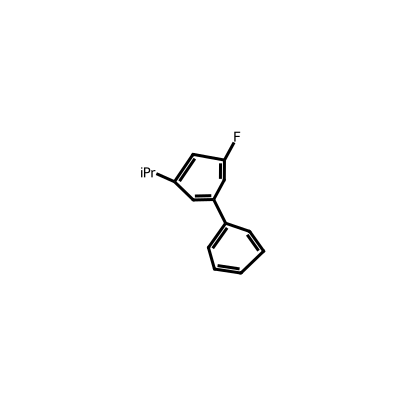 CC(C)c1cc(F)cc(-c2ccccc2)c1